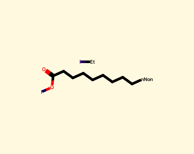 CCCCCCCCCCCCCCCCCC(=O)OI.CCI